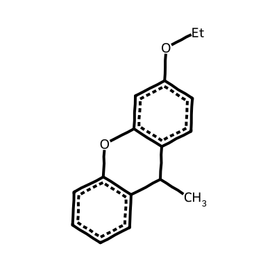 CCOc1ccc2c(c1)Oc1ccccc1C2C